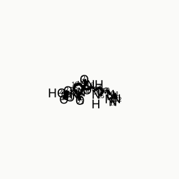 NC(=O)C1(OC[C@H]2C[C@@H](Cn3cnnn3)CN2)CCC2CN1C(=O)N2OS(=O)(=O)O